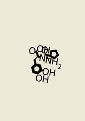 NC1(C(=O)N[C@@H](Cc2ccc(O)c(O)c2)C(=O)O)CCCC1